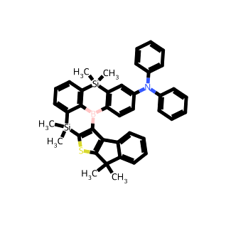 CC1(C)c2ccccc2-c2c1sc1c2B2c3ccc(N(c4ccccc4)c4ccccc4)cc3[Si](C)(C)c3cccc(c32)[Si]1(C)C